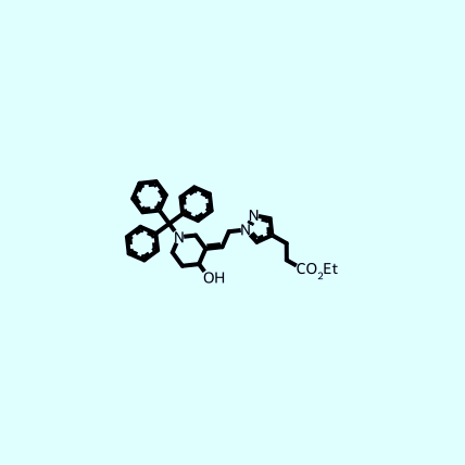 CCOC(=O)CCc1cnn(C/C=C2\CN(C(c3ccccc3)(c3ccccc3)c3ccccc3)CCC2O)c1